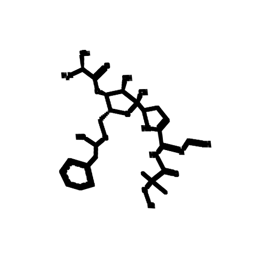 CCOC(C)(C)C(=O)N/C(=N/C=N)C1=CCC([C@]2(C#N)O[C@H](COC(O)Cc3ccccc3)[C@@H](OC(=O)[C@@H](N)C(C)(C)C)[C@H]2O)N1